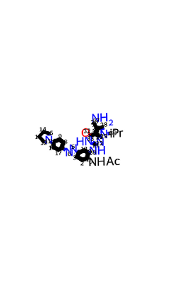 CC(=O)Nc1ccc(/N=N/c2ccc(N3CCCC3)cc2)cc1Nc1nc2c(c(CN)cn2C(C)C)c(=O)[nH]1